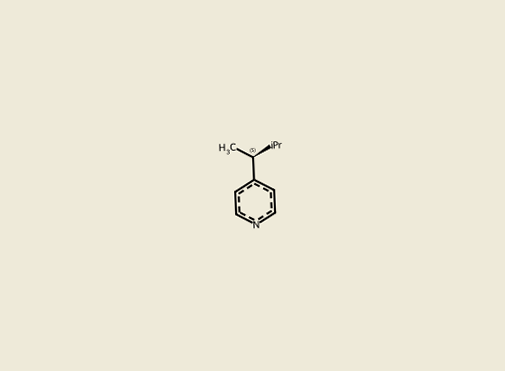 CC(C)[C@H](C)c1ccncc1